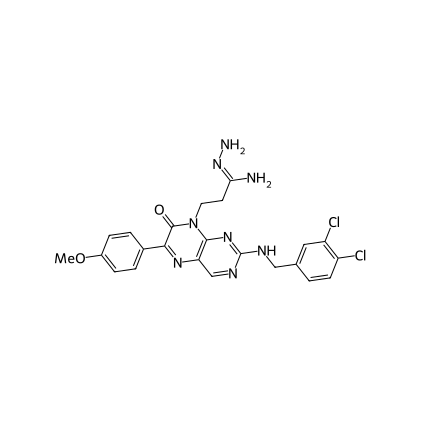 COc1ccc(-c2nc3cnc(NCc4ccc(Cl)c(Cl)c4)nc3n(CCC(N)=NN)c2=O)cc1